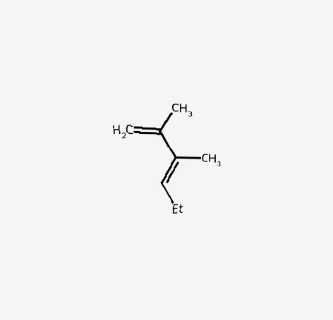 C=C(C)/C(C)=C/CC